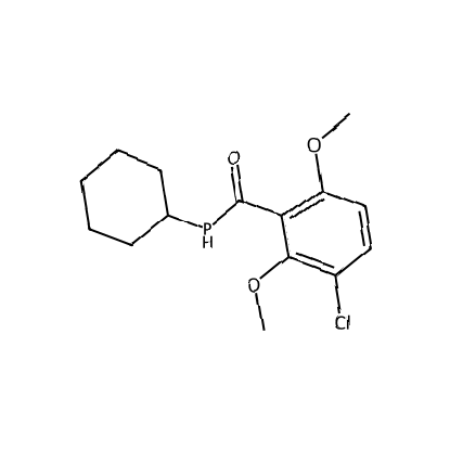 COc1ccc(Cl)c(OC)c1C(=O)PC1CCCCC1